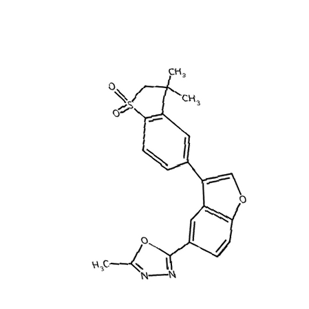 Cc1nnc(-c2ccc3occ(-c4ccc5c(c4)C(C)(C)CS5(=O)=O)c3c2)o1